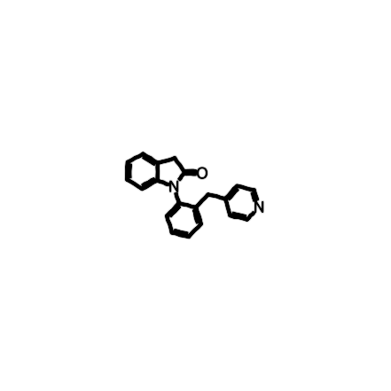 O=C1Cc2ccccc2N1c1ccccc1Cc1ccncc1